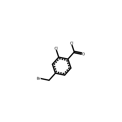 O=C(Cl)c1ccc(CBr)cc1Cl